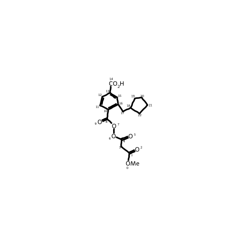 COC(=O)CC(=O)OOC(=O)c1ccc(C(=O)O)cc1CC1CCCC1